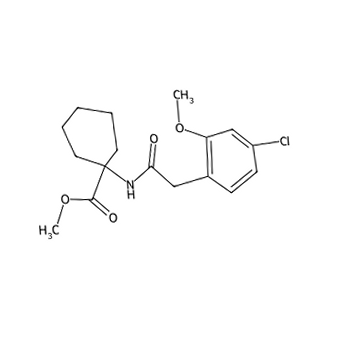 COC(=O)C1(NC(=O)Cc2ccc(Cl)cc2OC)CCCCC1